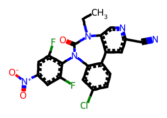 CCN1C(=O)N(c2c(F)cc([N+](=O)[O-])cc2F)c2cc(Cl)ccc2-c2cc(C#N)ncc21